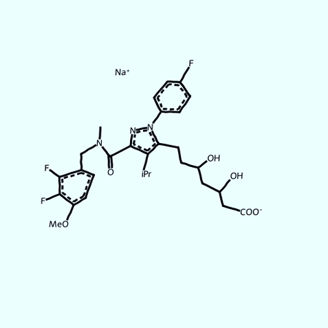 COc1ccc(CN(C)C(=O)c2nn(-c3ccc(F)cc3)c(CCC(O)CC(O)CC(=O)[O-])c2C(C)C)c(F)c1F.[Na+]